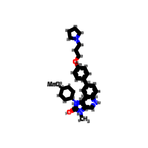 CO[C@H]1CC[C@H](n2c(=O)n(C)c3cnc4ccc(-c5ccc(OCCCN6CCCC6)cc5)cc4c32)CC1